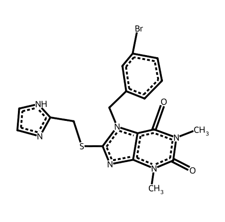 Cn1c(=O)c2c(nc(SCc3ncc[nH]3)n2Cc2cccc(Br)c2)n(C)c1=O